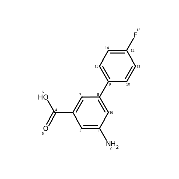 Nc1cc(C(=O)O)cc(-c2ccc(F)cc2)c1